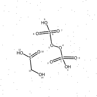 O=S(=O)(O)OOS(=O)(=O)O.O=S(O)CO